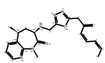 C=C(/C=C\C=C/C)Cc1nnc(CN[C@@H]2C[C@H](C)c3cccnc3N(C)C2=O)o1